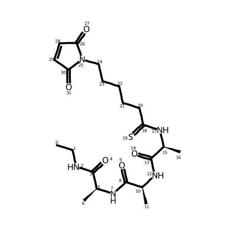 CCNC(=O)[C@H](C)NC(=O)[C@H](C)NC(=O)[C@H](C)NC(=S)CCCCCN1C(=O)C=CC1=O